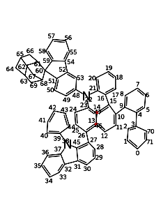 c1ccc(-c2ccccc2-c2ccccc2-c2ccccc2N(c2ccc(-c3cccc4c5ccccc5n(-c5ccccc5)c34)cc2)c2ccc3c(c2)-c2ccccc2C32C3CC4CC(C3)CC2C4)cc1